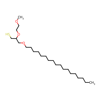 CCCCCCCCCCCCCCCCCCOCC(CS)OCCOC